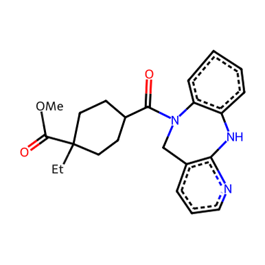 CCC1(C(=O)OC)CCC(C(=O)N2Cc3cccnc3Nc3ccccc32)CC1